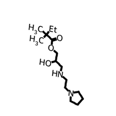 CCC(C)(C)C(=O)OCC(O)CNCCN1CCCC1